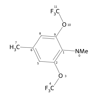 CNc1c(OC(F)(F)F)cc(C)cc1OC(F)(F)F